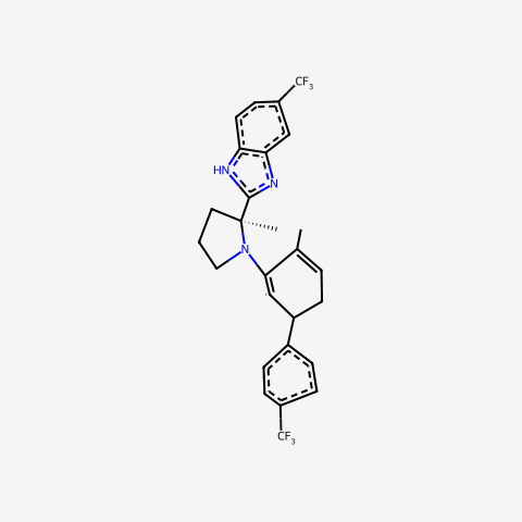 CC1=CCC(c2ccc(C(F)(F)F)cc2)[C]=C1N1CCC[C@@]1(C)c1nc2cc(C(F)(F)F)ccc2[nH]1